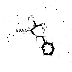 CCOC(=O)[C@@H](N[C@H](C)c1ccccc1)C(C(F)(F)F)C(F)(F)F